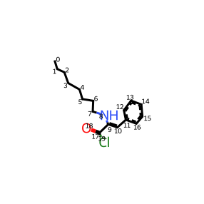 CCCCCCCCNC(=Cc1ccccc1)C(=O)Cl